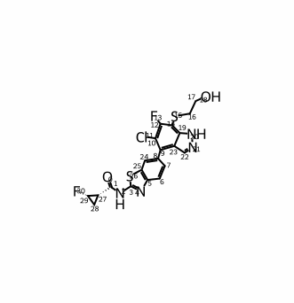 O=C(Nc1nc2ccc(-c3c(Cl)c(F)c(SCCO)c4[nH]ncc34)cc2s1)[C@@H]1C[C@@H]1F